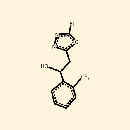 CCc1nnc(CC(O)c2ccccc2C(F)(F)F)o1